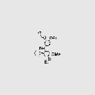 CCOC1=C(OC)C=C2C(c3ccc(OCC)c(OCC4CC4)c3)=NC3CCCCC3=C2C1